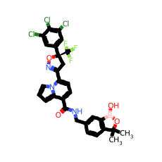 CC1(C)OB(O)c2cc(CNC(=O)c3ccc(C4=NO[C@@](c5cc(Cl)c(Cl)c(Cl)c5)(C(F)(F)F)C4)n4cccc34)ccc21